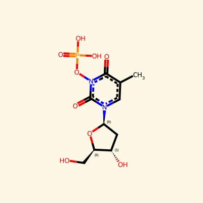 Cc1cn([C@H]2C[C@H](O)[C@@H](CO)O2)c(=O)n(OP(=O)(O)O)c1=O